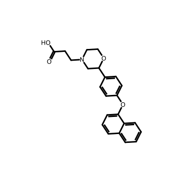 O=C(O)CCN1CCOC(c2ccc(Oc3cccc4ccccc34)cc2)C1